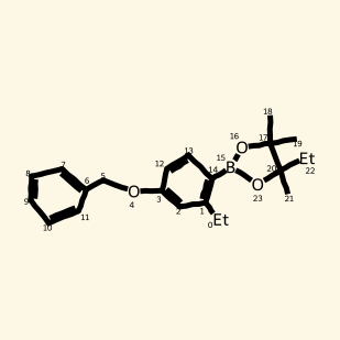 CCc1cc(OCc2ccccc2)ccc1B1OC(C)(C)C(C)(CC)O1